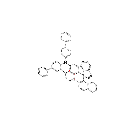 c1ccc(-c2ccc(N(c3ccc4c(c3)Sc3ccc5ccccc5c3C43c4ccccc4-c4ccccc43)c3ccc(-c4ccccc4)cc3-c3ccccc3)cc2)cc1